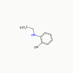 CCOC(=O)CNc1ccccc1N=O